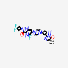 CCc1cnc(C2=CC(N3CCN(c4ccc(C(=O)NC5CC(F)(F)C5)nc4F)CC3)CC2)[nH]c1=O